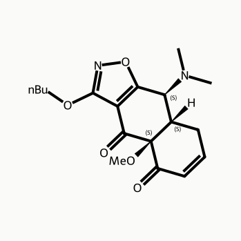 CCCCOc1noc2c1C(=O)[C@@]1(OC)C(=O)C=CC[C@H]1[C@@H]2N(C)C